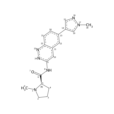 CN1CCC[C@@H]1C(=O)Nc1cc2cc(-c3cnn(C)c3)ccc2nn1